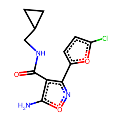 Nc1onc(-c2ccc(Cl)o2)c1C(=O)NCC1CC1